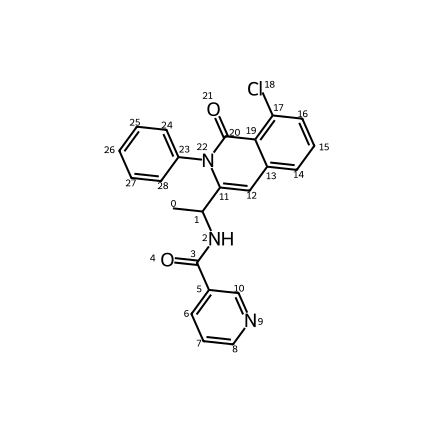 CC(NC(=O)c1cccnc1)c1cc2cccc(Cl)c2c(=O)n1-c1ccccc1